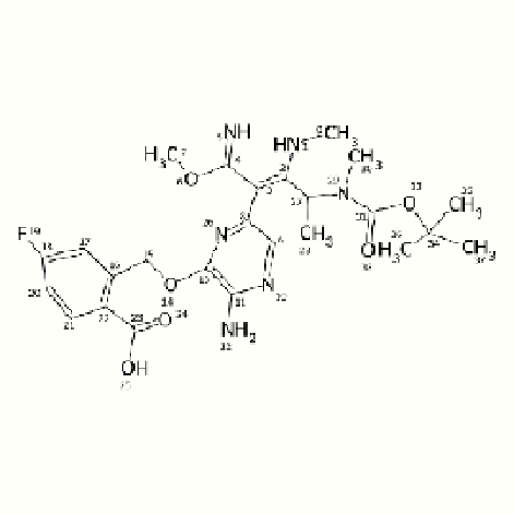 CN/C(=C(\C(=N)OC)c1cnc(N)c(OCc2cc(F)ccc2C(=O)O)n1)C(C)N(C)C(=O)OC(C)(C)C